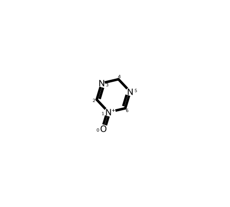 O=[N+]1C=NCN=C1